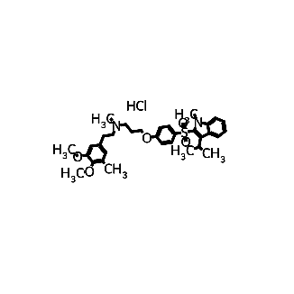 COc1cc(CCN(C)CCCOc2ccc(S(=O)(=O)c3c(C(C)C)c4ccccc4n3C)cc2)cc(C)c1OC.Cl